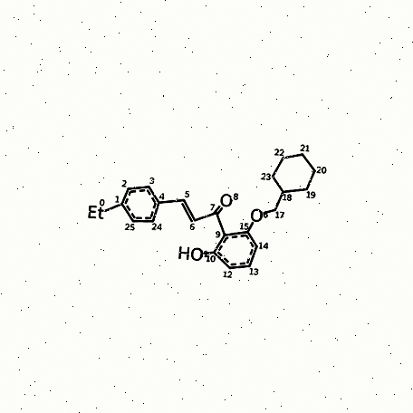 CCc1ccc(C=CC(=O)c2c(O)cccc2OCC2CCCCC2)cc1